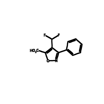 O=C(O)c1onc(-c2ccccc2)c1C(F)F